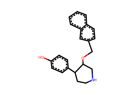 Oc1ccc(C2CCNCC2OCc2ccc3ccccc3c2)cc1